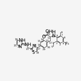 CCc1cc(F)cc(C)c1NC(Cc1ccc(-c2csc(CNc3ncc[nH]3)n2)cc1)C(=O)O